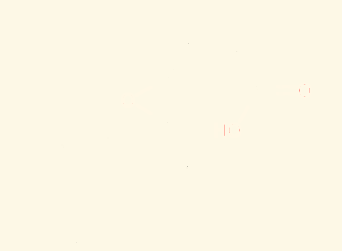 C=C(C)C(=O)O.C=Cc1ccccc1.CC1CO1